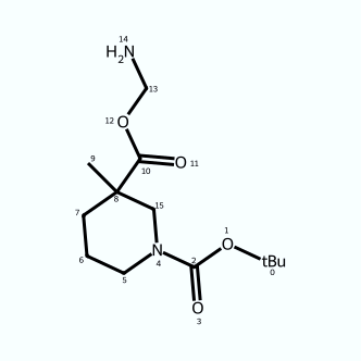 CC(C)(C)OC(=O)N1CCCC(C)(C(=O)OCN)C1